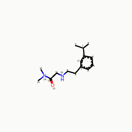 CC(C)c1cccc(CCNCC(=O)N(C)C)c1